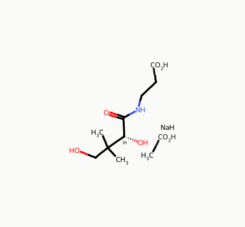 CC(=O)O.CC(C)(CO)[C@@H](O)C(=O)NCCC(=O)O.[NaH]